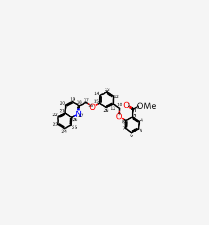 COC(=O)c1ccccc1OCc1cccc(OCc2ccc3ccccc3n2)c1